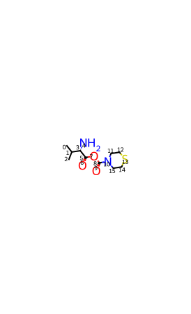 CC(C)[C@H](N)C(=O)OC(=O)N1CCSCC1